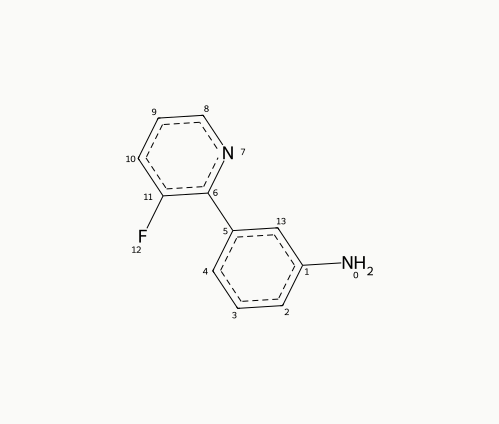 Nc1cccc(-c2ncccc2F)c1